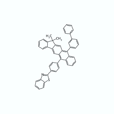 CC1(C)c2ccccc2-c2cc3c(-c4ccc(-c5nc6ccccc6s5)cc4)c4ccccc4c(-c4cccc(-c5ccccc5)c4)c3cc21